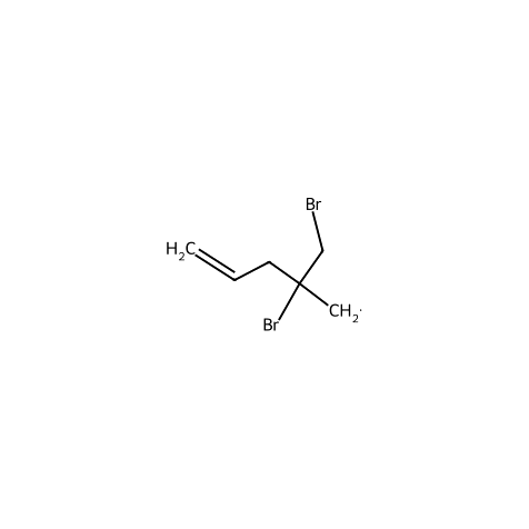 [CH2]C(Br)(CBr)CC=C